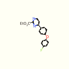 CCOC(=O)c1nccc(-c2ccc(Oc3ccc(F)cc3)cc2)n1